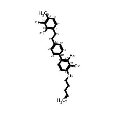 C=CCCCOc1ccc(-c2ccc(CCc3ccc(C)c(F)c3F)cc2)c(F)c1F